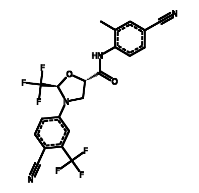 Cc1cc(C#N)ccc1NC(=O)[C@@H]1CN(c2ccc(C#N)c(C(F)(F)F)c2)[C@@H](C(F)(F)F)O1